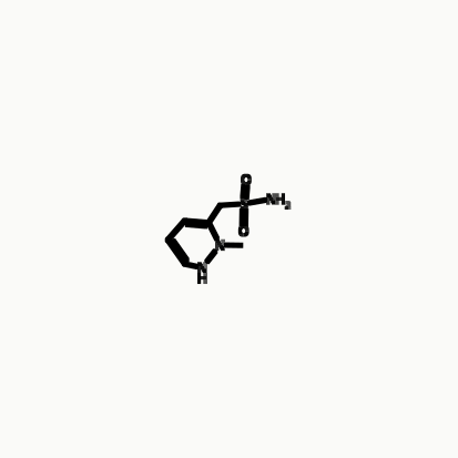 CN1NC=CC=C1CS(N)(=O)=O